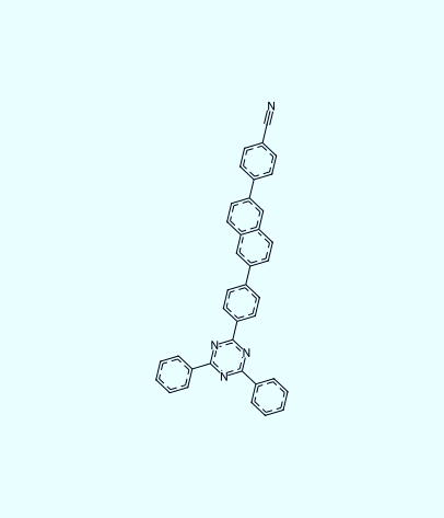 N#Cc1ccc(-c2ccc3cc(-c4ccc(-c5nc(-c6ccccc6)nc(-c6ccccc6)n5)cc4)ccc3c2)cc1